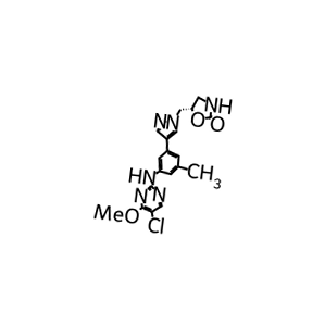 COc1nc(Nc2cc(C)cc(-c3cnn(C[C@@H]4CNC(=O)O4)c3)c2)ncc1Cl